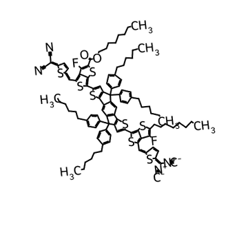 [C-]#[N+]C([N+]#[C-])=c1cc/c(=C\c2sc(-c3cc4c(s3)-c3cc5c(cc3C4(c3ccc(CCCCCC)cc3)c3ccc(CCCCCC)cc3)-c3sc(-c4sc(/C=c6\ccc(=C(C#N)C#N)s6)c6c(F)c(C(=O)OCCCCCCCC)sc46)cc3C5(c3ccc(CCCCCC)cc3)c3ccc(CCCCCC)cc3)c3sc(CCCCCCCC)c(F)c23)s1